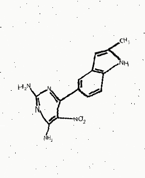 Cc1cc2cc(-c3nc(N)nc(N)c3[N+](=O)[O-])ccc2[nH]1